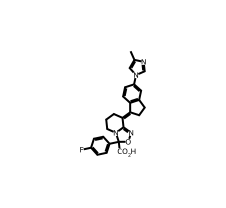 Cc1cn(-c2ccc3c(c2)CC/C3=C2/CCCN3C2=NOC3(C(=O)O)c2ccc(F)cc2)cn1